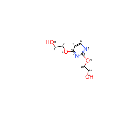 OCCOc1ccnc(OCCO)n1